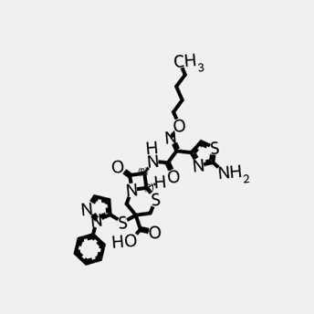 CCCCCON=C(C(=O)N[C@@H]1C(=O)N2CC(Sc3ccnn3-c3ccccc3)(C(=O)O)CS[C@H]12)c1csc(N)n1